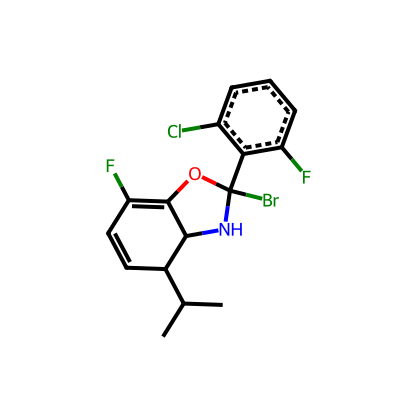 CC(C)C1C=CC(F)=C2OC(Br)(c3c(F)cccc3Cl)NC21